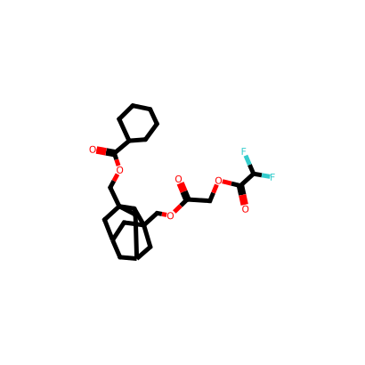 O=C(COC(=O)C(F)F)OCC12CC3CC(C1)CC(COC(=O)C1CCCCC1)(C3)C2